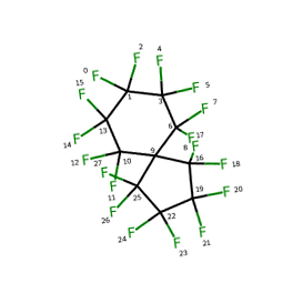 FC1(F)C(F)(F)C(F)(F)C2(C(F)(F)C1(F)F)C(F)(F)C(F)(F)C(F)(F)C2(F)F